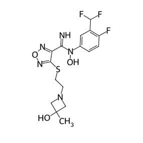 CC1(O)CN(CCSc2nonc2C(=N)N(O)c2ccc(F)c(C(F)F)c2)C1